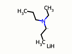 CC[CH]N(CC)CCC.[LiH]